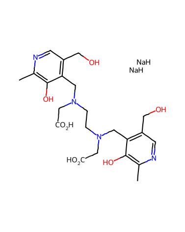 Cc1ncc(CO)c(CN(CCN(CC(=O)O)Cc2c(CO)cnc(C)c2O)CC(=O)O)c1O.[NaH].[NaH]